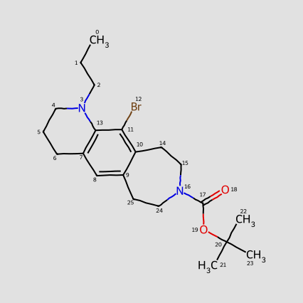 CCCN1CCCc2cc3c(c(Br)c21)CCN(C(=O)OC(C)(C)C)CC3